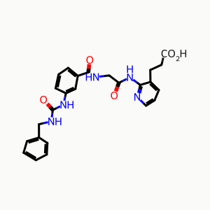 O=C(O)CCc1cccnc1NC(=O)CNC(=O)c1cccc(NC(=O)NCc2ccccc2)c1